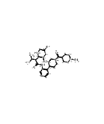 CC(N)C(C(=O)Nc1cnccc1C1CCN(C(=O)C2CCN(C)CC2)CC1)C1NCC(F)CN1N=O